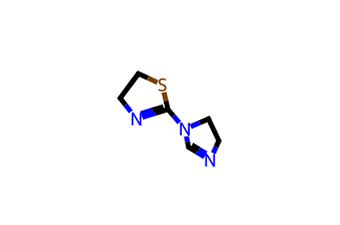 C1=NCCN1C1=NCCS1